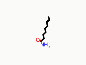 CC=CCCCCCC(N)=O